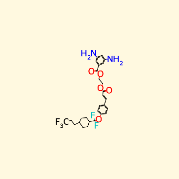 Nc1cc(N)cc(C(=O)OCCOC(=O)C=Cc2ccc(OC(F)(F)C3CCC(CCC(F)(F)F)CC3)cc2)c1